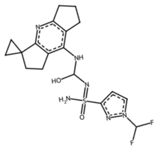 NS(=O)(=NC(O)Nc1c2c(nc3c1CCC31CC1)CCC2)c1ccn(C(F)F)n1